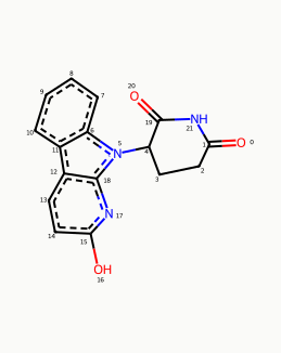 O=C1CCC(n2c3ccccc3c3ccc(O)nc32)C(=O)N1